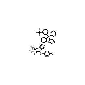 CC(C)(C)C(=O)C(Oc1ccc(Cl)cc1)n1ccnc1.FC(F)(F)c1cccc(C(c2ccccc2)(c2ccccc2)n2cncn2)c1